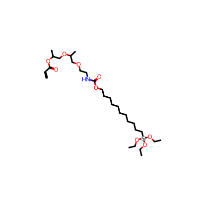 C=CC(=O)OC(C)COC(C)COCCNC(=O)OCCCCCCCCCCC[Si](OCC)(OCC)OCC